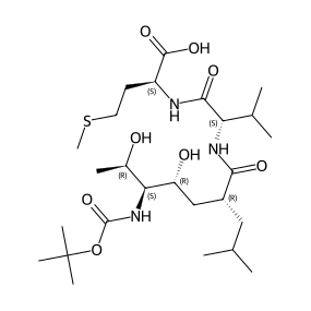 CSCC[C@H](NC(=O)[C@@H](NC(=O)[C@H](CC(C)C)C[C@@H](O)[C@@H](NC(=O)OC(C)(C)C)[C@@H](C)O)C(C)C)C(=O)O